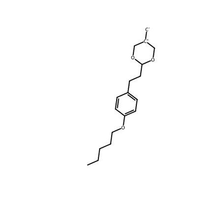 [CH2-][C+]1COC(CCc2ccc(OCCCCC)cc2)OC1